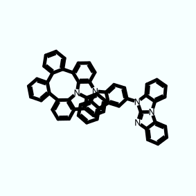 c1ccc2c(c1)nc1n(-c3ccc4c(c3)c3ccccc3n4-c3cccc4c5ccccc5c5ccccc5c5cccc6c7ccccc7n(c34)c56)c3ccccc3n21